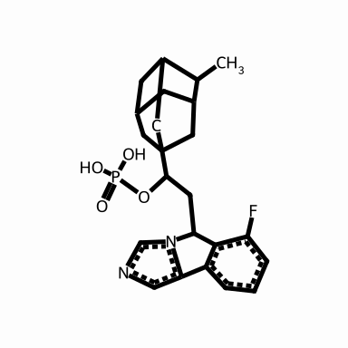 CC1C2CC3CC1CC(C(CC1c4c(F)cccc4-c4cncn41)OP(=O)(O)O)(C3)C2